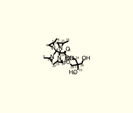 CC1CN1C(N1CC1C)C(C(=O)O)(N1CC1C)N1CC1C.OCC(CO)(CO)CO